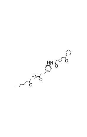 CCCCCC(=O)CCNC(=O)CCc1ccc(NC(=O)COCC(=O)C2CCCC2)cc1